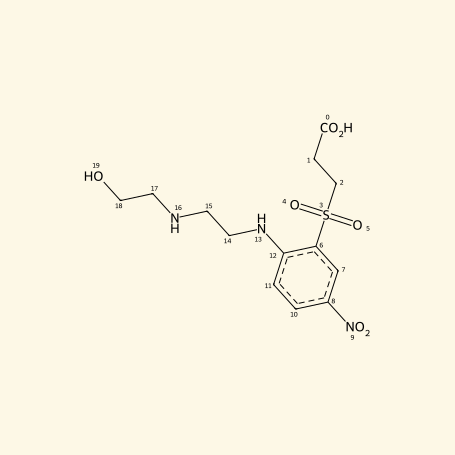 O=C(O)CCS(=O)(=O)c1cc([N+](=O)[O-])ccc1NCCNCCO